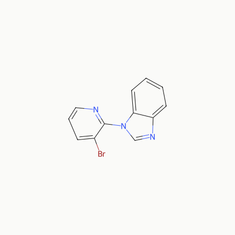 Brc1cccnc1-n1cnc2ccccc21